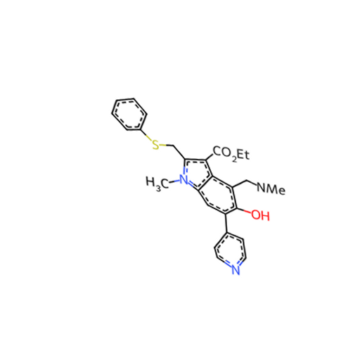 CCOC(=O)c1c(CSc2ccccc2)n(C)c2cc(-c3ccncc3)c(O)c(CNC)c12